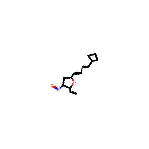 C=CC1OC(/C=C/C=C/C2CCC2)CC1N=O